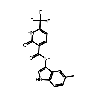 Cc1ccc2[nH]cc(NC(=O)c3ccc(C(F)(F)F)[nH]c3=O)c2c1